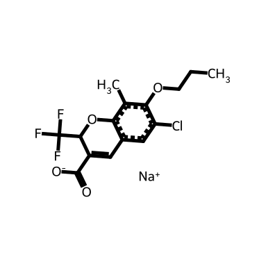 CCCOc1c(Cl)cc2c(c1C)OC(C(F)(F)F)C(C(=O)[O-])=C2.[Na+]